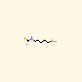 CCCCCCCCCCNC(=S)S